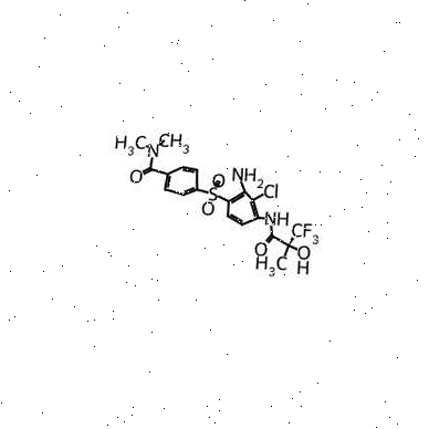 CN(C)C(=O)c1ccc(S(=O)(=O)c2ccc(NC(=O)[C@@](C)(O)C(F)(F)F)c(Cl)c2N)cc1